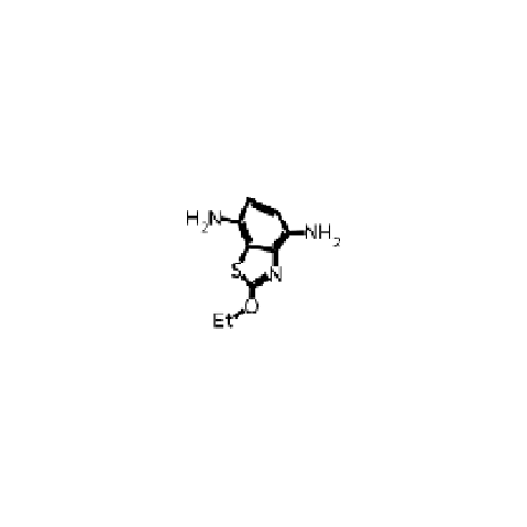 CCOc1nc2c(N)ccc(N)c2s1